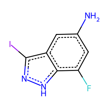 Nc1cc(F)c2[nH]nc(I)c2c1